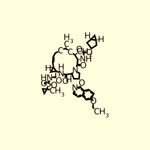 CCOc1ccc2c(O[C@@H]3C[C@H]4C(=O)N[C@]5(C(=O)NS(=O)(=O)C6(C)CC6)C[C@@H]5/C=C\CC[C@H](C)C[C@@H](C)[C@H](NC(=O)O[C@@H]5C[C@@H]6C[C@@H]6C5)C(=O)N4C3)nccc2c1